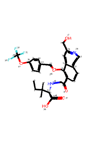 CCC(C)(C)[C@H](NC(=O)c1ccc2cnc(CO)cc2c1OCc1ccc(OC(F)(F)F)cc1)C(=O)O